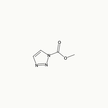 COC(=O)n1ccnn1